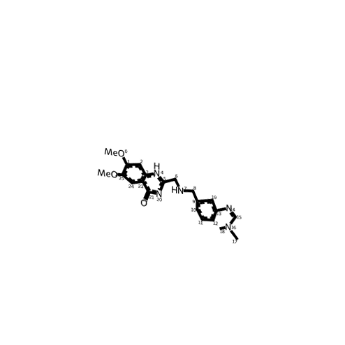 COc1cc2[nH]c(CNCc3cccc(/N=C\N(C)C)c3)nc(=O)c2cc1OC